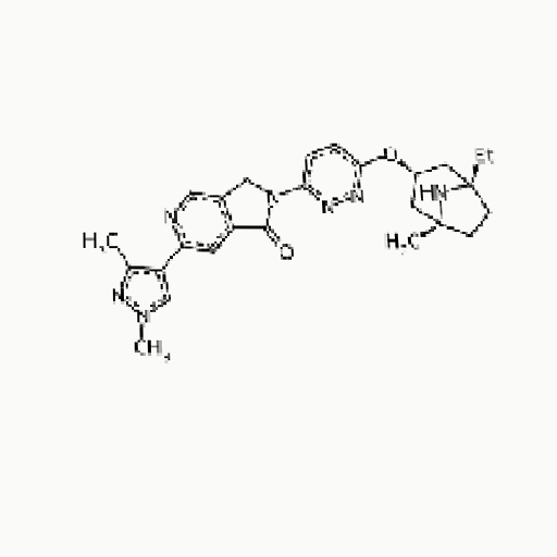 CC[C@]12CC[C@](C)(C[C@@H](Oc3ccc(N4Cc5cnc(-c6cn(C)nc6C)cc5C4=O)nn3)C1)N2